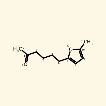 CC(=O)CCCCc1ccc(C)o1